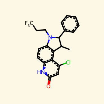 CC1c2c(ccc3[nH]c(=O)cc(Cl)c23)N(CCC(F)(F)F)C1c1ccccc1